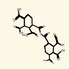 O=C(O)C1CCC(C(=O)OC(=O)C2CCC(C(=O)O)C(C(=O)O)C2C(=O)O)C(C(=O)O)C1C(=O)O